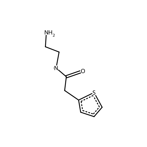 NCC[N]C(=O)Cc1cccs1